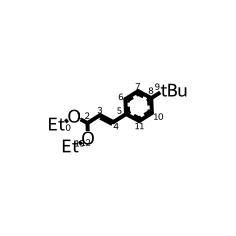 CCOC(/C=C/c1ccc(C(C)(C)C)cc1)OCC